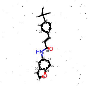 CC(C)(C)c1ccc(C=CC(=O)Nc2ccc3occc3c2)cc1